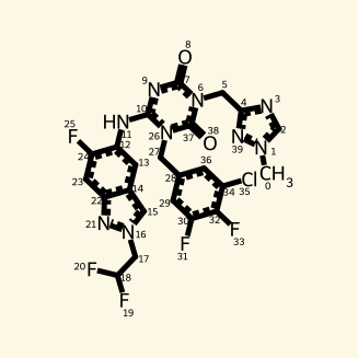 Cn1cnc(Cn2c(=O)nc(Nc3cc4cn(CC(F)F)nc4cc3F)n(Cc3cc(F)c(F)c(Cl)c3)c2=O)n1